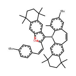 Cc1cc(C(C)(C)C)cc2c1B(c1c(/C=C\c3ccc(C(C)(C)C)cc3)oc3cc4c(cc13)C(C)(C)CCC4(C)C)c1cc3c(cc1C=C2)C(C)(C)CCC3(C)C